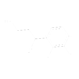 CCCC([O])c1cccc(F)c1F